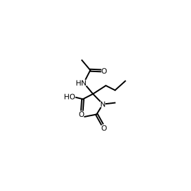 CCCC(NC(C)=O)(C(=O)O)N(C)C(C)=O